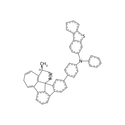 C[C@@H]1C2=C3C(=CCC=C2)c2cccc4c2C3(c2cc(-c3ccc(N(c5ccccc5)c5ccc6c(c5)sc5ccccc56)cc3)ccc2-4)c2ccccc21